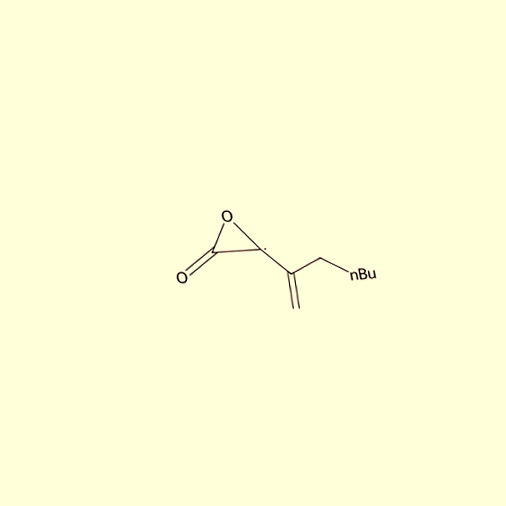 C=C(CCCCC)[C]1OC1=O